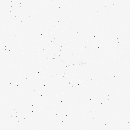 CC1CCCC1C(O)CN=O